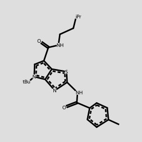 Cc1ccc(C(=O)Nc2nc3c(s2)c(C(=O)NCCC(C)C)cn3C(C)(C)C)cc1